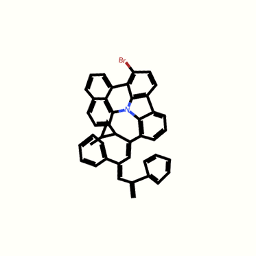 C=C(/C=C(\C=C(\c1cccc2c3ccc(Br)c4c5cccc6cccc(c65)n(c12)c34)C1CC1C)c1ccccc1)c1ccccc1